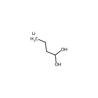 CCCC(O)O.[Li]